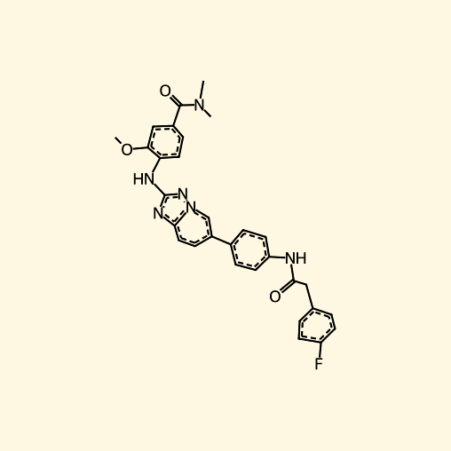 COc1cc(C(=O)N(C)C)ccc1Nc1nc2ccc(-c3ccc(NC(=O)Cc4ccc(F)cc4)cc3)cn2n1